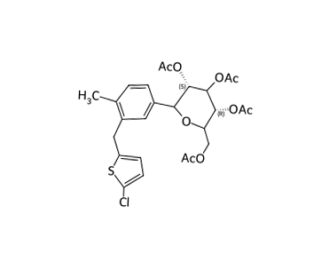 CC(=O)OCC1OC(c2ccc(C)c(Cc3ccc(Cl)s3)c2)[C@H](OC(C)=O)C(OC(C)=O)[C@@H]1OC(C)=O